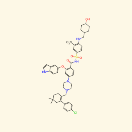 CC1(C)CCC(CN2CCN(c3ccc(C(=O)NS(=O)(=O)c4ccc(NCC5CCC(O)CC5)c([N+](=O)[O-])c4)c(Oc4ccc5[nH]ccc5c4)c3)CC2)=C(c2ccc(Cl)cc2)C1